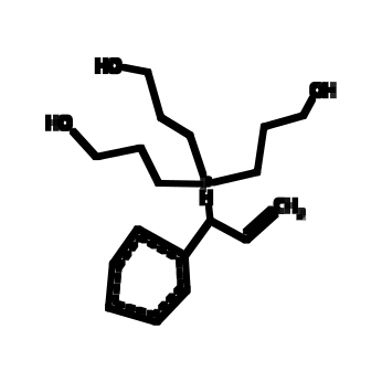 C=CC(c1ccccc1)[PH](CCCO)(CCCO)CCCO